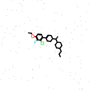 CCCC1CCC(C(C)C2CC=C(c3ccc(OCC)c(F)c3Cl)CC2)CC1